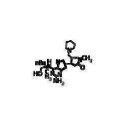 CCCC[C@](C)(CO)Nc1nc(N)nc2cc(-c3cc(=O)n(C)cc3CN3CCCCC3)cnc12